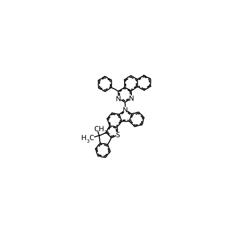 CC1(C)c2ccccc2-c2sc3c(ccc4c3c3ccccc3n4-c3nc(-c4ccccc4)c4ccc5ccccc5c4n3)c21